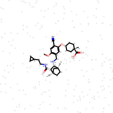 COc1cc(C#N)c(O[C@H]2CC[C@@](C)(C(=O)O)CC2)cc1CN[C@@H]1[C@H]2CC[C@H](C2)[C@@H]1C(=O)NCCC1CC1